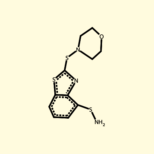 NSc1cccc2sc(SN3CCOCC3)nc12